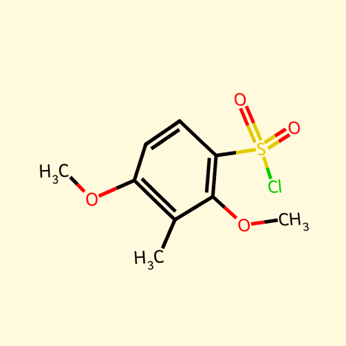 COc1ccc(S(=O)(=O)Cl)c(OC)c1C